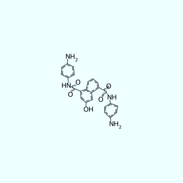 Nc1ccc(NS(=O)(=O)c2cc(O)cc3c(S(=O)(=O)Nc4ccc(N)cc4)cccc23)cc1